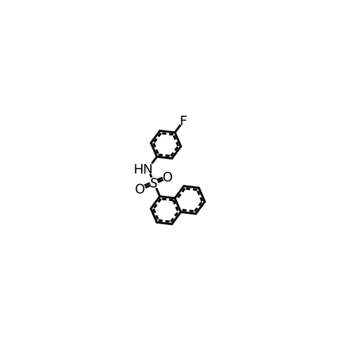 O=S(=O)(Nc1ccc(F)cc1)c1cccc2ccccc12